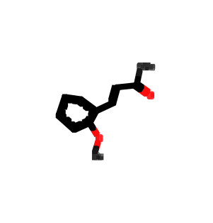 CCC(C)Oc1ccccc1C=CC(=O)OC